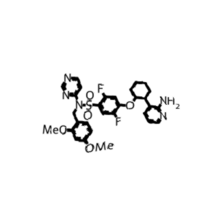 COc1ccc(CN(c2ccncn2)S(=O)(=O)c2cc(F)c(OC3CCCCC3c3cccnc3N)cc2F)c(OC)c1